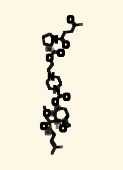 CO[C@@H]1[C@H](OC(=O)N2CCN(CCOC(=O)[C@@H]3CCCN3C(=O)CCC(C)=O)CC2)CC[C@]2(CO2)[C@@]1(C)C1(C)O[C@@H]1CC=C(C)C